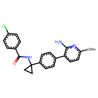 COc1ccc(-c2ccc(C3(NC(=O)c4ccc(Cl)cc4)CC3)cc2)c(N)n1